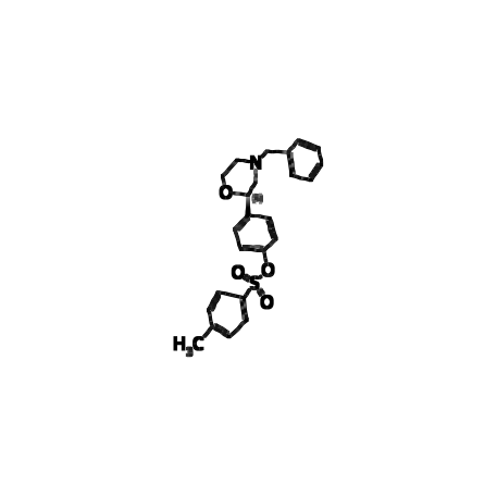 Cc1ccc(S(=O)(=O)Oc2ccc([C@@H]3CN(Cc4ccccc4)CCO3)cc2)cc1